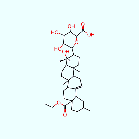 CCOC(=O)C12CCC(C)CC1C1=CCC3C(C)(CCC4C3(C)CCC(C3OC(C(=O)O)C(O)C(O)C3O)[C@@]4(C)O)C1CC2